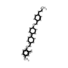 CCCC1C=CC(COC2CCC(C3CCC(COc4ccc(C)cc4F)CC3)CC2)CC1